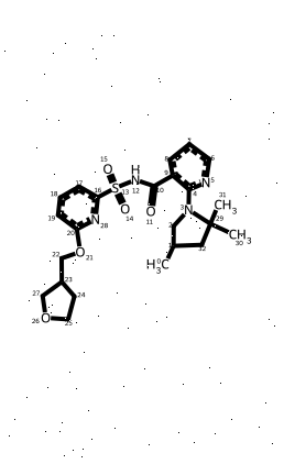 CC1CN(c2ncccc2C(=O)NS(=O)(=O)c2cccc(OCC3CCOC3)n2)C(C)(C)C1